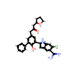 N=C(N)c1cc2cc(-c3cc(CC(=O)CC4CCCO4)cc(-c4ccccc4)c3O)[nH]c2cc1Cl